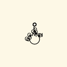 CN1CC(=O)OC2(CCCCCCCCCC(=O)N/C1=N/C(=O)OCc1ccccc1)CCOC2